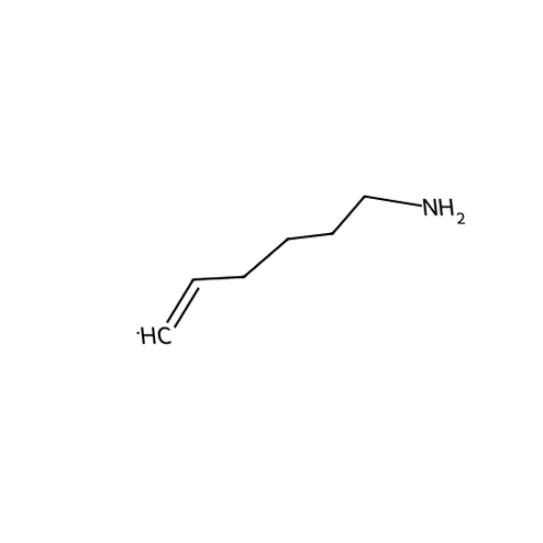 [CH]=CCCCCN